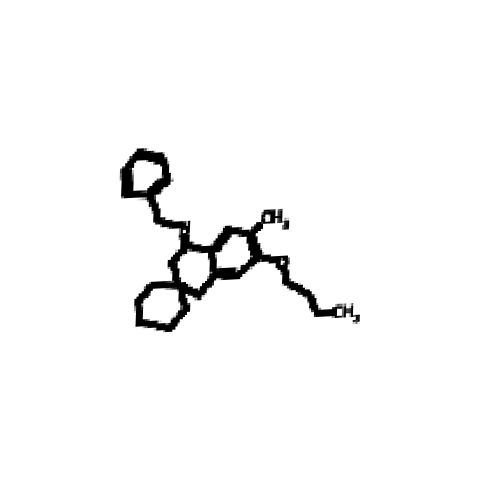 CCCCOc1cc2c(cc1C)C(=NCc1ccccc1)CC1(CCCCC1)C2